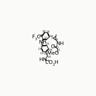 COCC(=O)NC1CC1.O=C(O)NCc1ccc(Nc2ccccc2C(F)(F)F)cc1